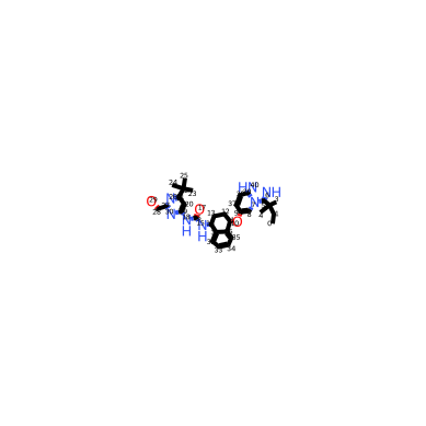 CCC(C)(C)C(=N)n1cc(OC2CCC(NC(=O)Nc3cc(C(C)(C)C)nc(C=O)n3)c3ccccc32)ccc1=N